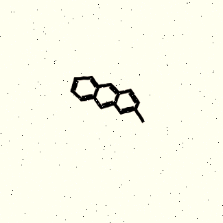 Cc1c[c]c2cc3ccccc3cc2c1